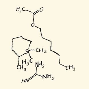 CC1CCCC[Si]1(C)C.CCCCCCCOC(C)=O.N=C(N)N